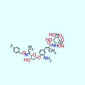 C/C(=C\c1ccc(O[C@H]2C[C@H](O)[C@@H](/C(C)=N/OCc3ccc(F)cc3)O2)c(N)c1)C(=O)N[C@@H]1[C@H](O)[C@@H](O)[C@H]2OCO[C@H]2[C@@H]1O